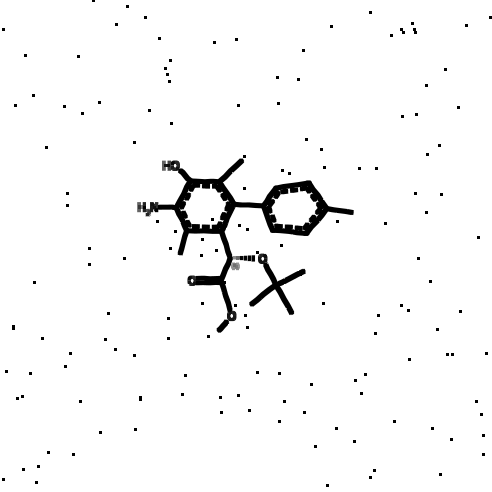 COC(=O)[C@@H](OC(C)(C)C)c1c(C)c(N)c(O)c(C)c1-c1ccc(C)cc1